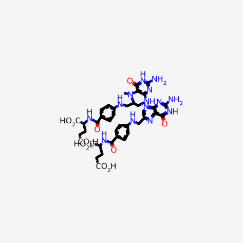 CN1c2c(nc(N)[nH]c2=O)NCC1CNc1ccc(C(=O)NC(CCC(=O)O)C(=O)O)cc1.Nc1nc2ncc(CNc3ccc(C(=O)NC(CCC(=O)O)C(=O)O)cc3)nc2c(=O)[nH]1